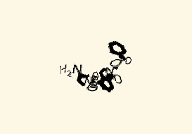 N[C@@H]1CCN(S(=O)(=O)c2cccc3c(=O)n(COC(=O)C4CCCCC4)ccc23)C1